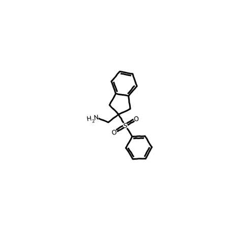 NCC1(S(=O)(=O)c2ccccc2)Cc2ccccc2C1